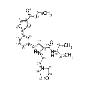 CCOC(=O)c1cnc(-c2cccc(-c3cc(C(=O)NC(CC)CC)n(CCN4CCOCC4)n3)c2)o1